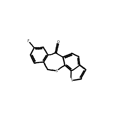 O=C1c2cc(F)ccc2CSc2c1ccc1ccsc21